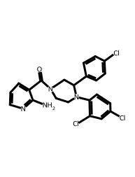 Nc1ncccc1C(=O)N1CCN(c2ccc(Cl)cc2Cl)C(c2ccc(Cl)cc2)C1